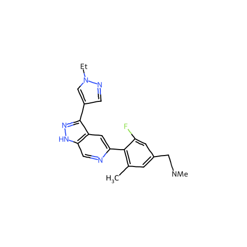 CCn1cc(-c2n[nH]c3cnc(-c4c(C)cc(CNC)cc4F)cc23)cn1